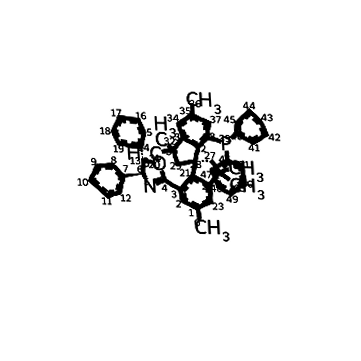 Cc1cc(C2=N[C@@H](c3ccccc3)[C@H](c3ccccc3)O2)c2c(c1)C(C)(C)C[C@@]21CC(C)(C)c2cc(C)cc(P(c3ccccc3)c3ccccc3)c21